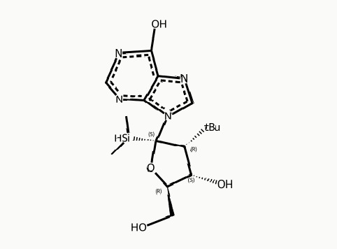 C[SiH](C)[C@@]1(n2cnc3c(O)ncnc32)O[C@H](CO)[C@@H](O)[C@H]1C(C)(C)C